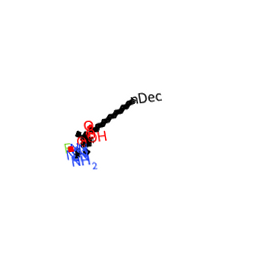 C#C[C@]1(COC(=O)CCCCCCCCCCCCCCCCCCCCCCC)O[C@@H](n2cnc3c(N)nc(F)nc32)C[C@@H]1O